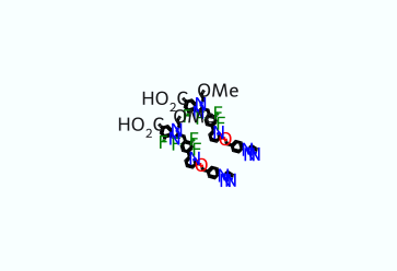 COCCn1c(Cc2c(F)cc(-c3cccc(OCc4ccc(-n5ccnn5)cc4)n3)c(F)c2F)nc2c(F)cc(C(=O)O)cc21.COCCn1c(Cc2c(F)cc(-c3cccc(OCc4ccc(-n5ccnn5)cc4)n3)c(F)c2F)nc2c(F)cc(C(=O)O)cc21